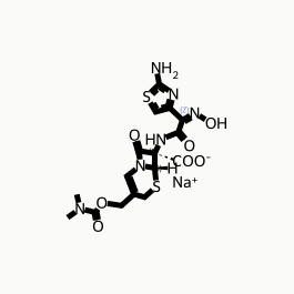 CN(C)C(=O)OCC1=CN2C(=O)[C@](NC(=O)/C(=N\O)c3csc(N)n3)(C(=O)[O-])[C@@H]2SC1.[Na+]